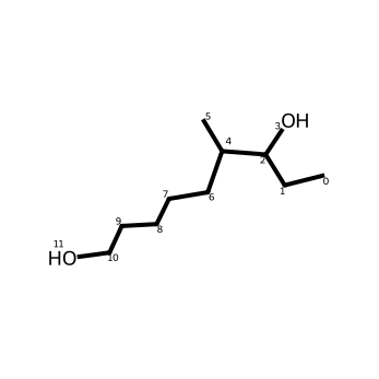 CCC(O)C(C)CCCCCO